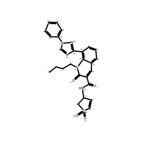 CCCCn1c(=O)c(C(=O)NC2C=CS(=O)(=O)C2)cc2cccc(-c3ncn(-c4ccccc4)n3)c21